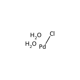 O.O.[Cl][Pd]